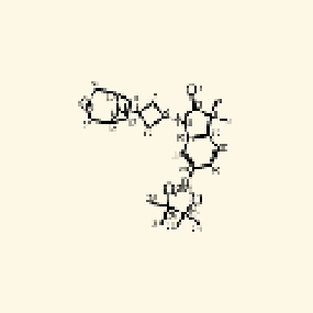 CC1(C)C(=O)N(C2CC(N3C4CCC3COC4)C2)c2cc(B3OC(C)(C)C(C)(C)O3)ccc21